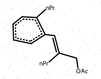 CCC/C(=C\c1ccccc1CCC)COC(C)=O